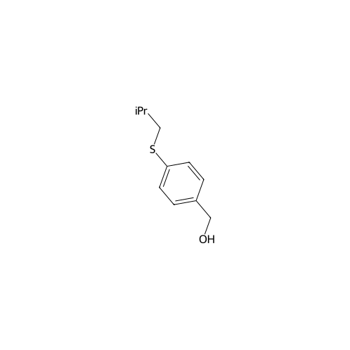 CC(C)CSc1ccc(CO)cc1